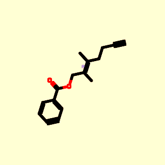 C#CCC/C(C)=C(\C)COC(=O)c1cc#ccc1